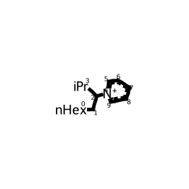 CCCCCCCC(C(C)C)[n+]1ccccc1